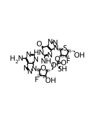 Nc1nc2c(nnn2[C@@H]2S[C@H](CO)[C@@H](F)[C@H]2OP(=O)(S)OC[C@H]2O[C@@H](n3nnc4c(N)ncnc43)[C@@H](F)[C@@H]2O)c(=O)[nH]1